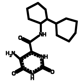 Nc1c(C(=O)NC2CCCCC2C2CCCCC2)[nH]c(=O)[nH]c1=O